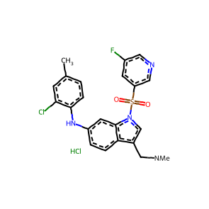 CNCc1cn(S(=O)(=O)c2cncc(F)c2)c2cc(Nc3ccc(C)cc3Cl)ccc12.Cl